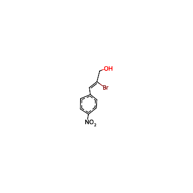 O=[N+]([O-])c1ccc(C=C(Br)CO)cc1